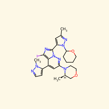 Cc1cc(-c2nc(I)c3c(-c4ccnn4C)cc(N4CCOC[C@H]4C)nn23)n(C2CCCCO2)n1